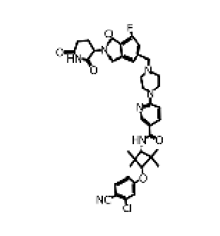 CC1(C)[C@H](NC(=O)c2ccc(N3CCN(Cc4cc(F)c5c(c4)CN(C4CCC(=O)NC4=O)C5=O)CC3)nc2)C(C)(C)[C@H]1Oc1ccc(C#N)c(Cl)c1